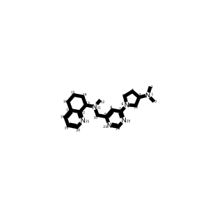 CN(C)C1CCN(c2cc(CN(C)C3CCCc4cccnc43)ncn2)C1